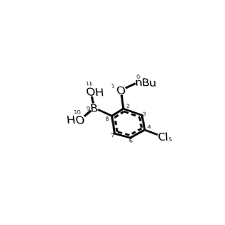 CCCCOc1cc(Cl)ccc1B(O)O